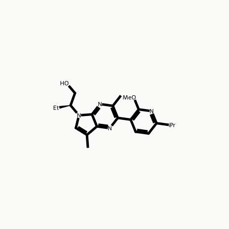 CC[C@@H](CO)n1cc(C)c2nc(-c3ccc(C(C)C)nc3OC)c(C)nc21